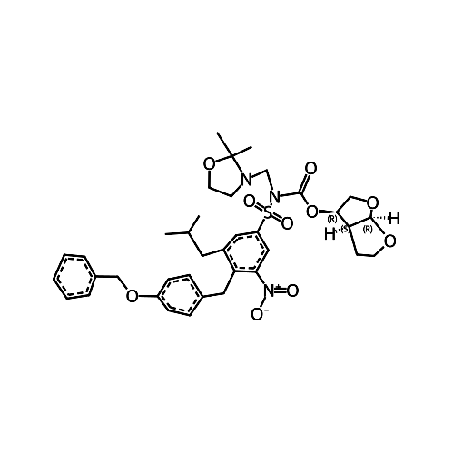 CC(C)Cc1cc(S(=O)(=O)N(CN2CCOC2(C)C)C(=O)O[C@H]2CO[C@H]3OCC[C@H]32)cc([N+](=O)[O-])c1Cc1ccc(OCc2ccccc2)cc1